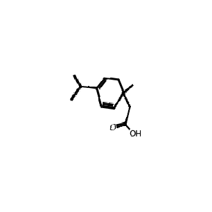 CC(C)C1=CCC(C)(CC(=O)O)C=C1